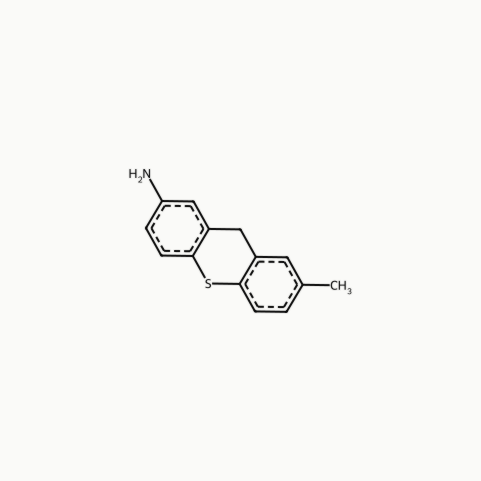 Cc1ccc2c(c1)Cc1cc(N)ccc1S2